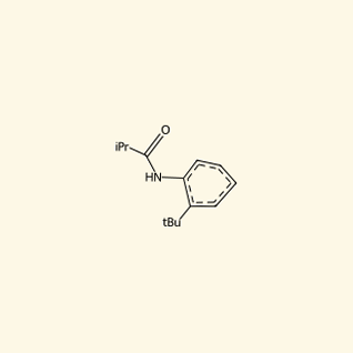 CC(C)C(=O)Nc1ccccc1C(C)(C)C